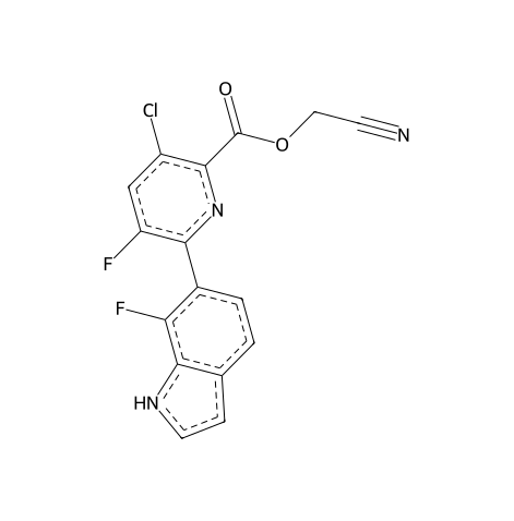 N#CCOC(=O)c1nc(-c2ccc3cc[nH]c3c2F)c(F)cc1Cl